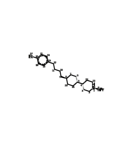 CCC[Si@H]1CC[C@H]([C@H]2CC[C@H](CCCCc3ccc(CC)cc3)CC2)CC1